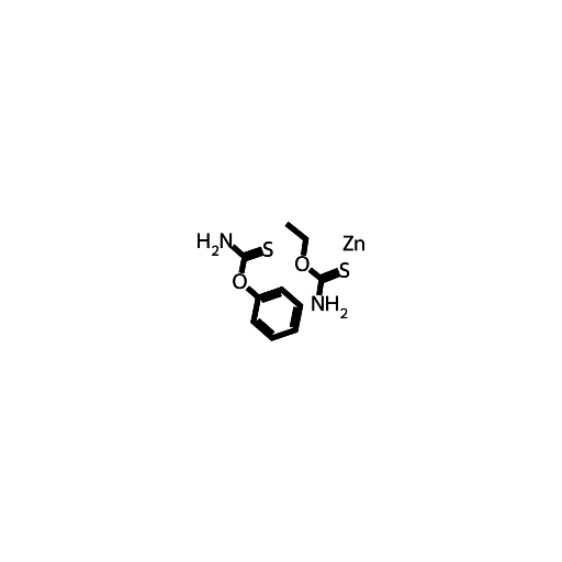 CCOC(N)=S.NC(=S)Oc1ccccc1.[Zn]